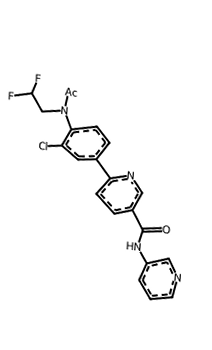 CC(=O)N(CC(F)F)c1ccc(-c2ccc(C(=O)Nc3cccnc3)cn2)cc1Cl